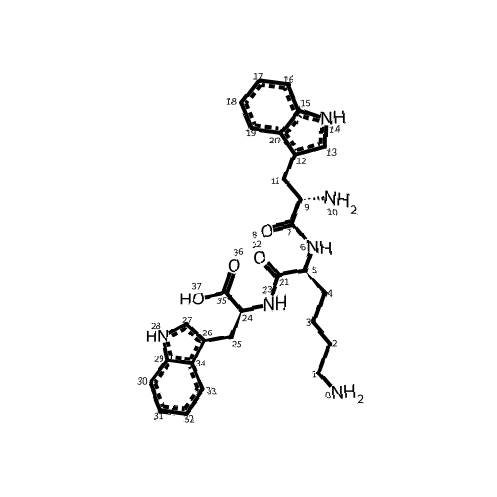 NCCCC[C@H](NC(=O)[C@@H](N)Cc1c[nH]c2ccccc12)C(=O)N[C@@H](Cc1c[nH]c2ccccc12)C(=O)O